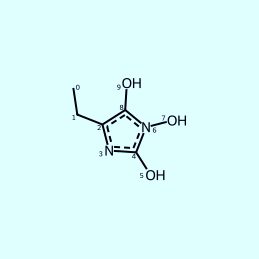 CCc1nc(O)n(O)c1O